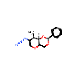 C[C@@H]1C(N=[N+]=[N-])COC2COC(c3ccccc3)O[C@H]21